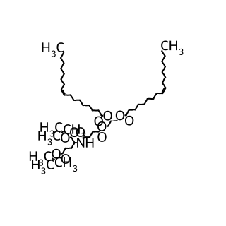 CCCCCCCC/C=C\CCCCCCCC(=O)OC[C@@H](COC(=O)CCC(=O)NC(CCC(=O)OC(C)(C)C)C(=O)OC(C)(C)C)OC(=O)CCCCCCC/C=C\CCCCCCCC